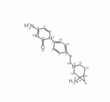 Nc1ccn(-c2ccc(CCN3CCC4CC4(N)C3)cc2)c(=O)n1